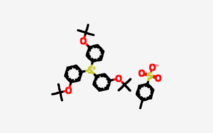 CC(C)(C)Oc1cccc([S+](c2cccc(OC(C)(C)C)c2)c2cccc(OC(C)(C)C)c2)c1.Cc1ccc(S(=O)(=O)[O-])cc1